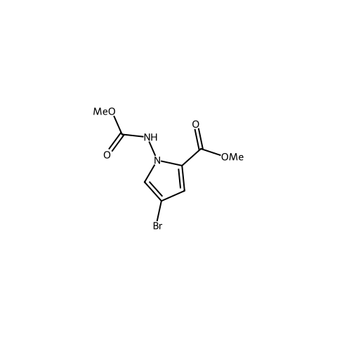 COC(=O)Nn1cc(Br)cc1C(=O)OC